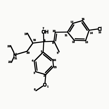 COc1ccc(C(O)(/C(C)=C/c2ccc(Cl)cc2)C(C)CN(C)C)cc1